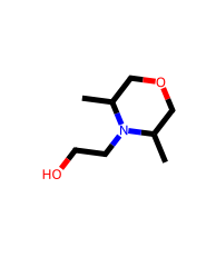 CC1COCC(C)N1CCO